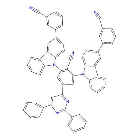 N#Cc1cccc(-c2ccc3c(c2)c2ccccc2n3-c2cc(-c3cc(-c4ccccc4)nc(-c4ccccc4)n3)cc(-n3c4ccccc4c4cc(-c5cccc(C#N)c5)ccc43)c2C#N)c1